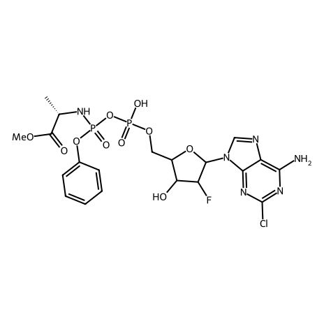 COC(=O)[C@H](C)NP(=O)(Oc1ccccc1)OP(=O)(O)OCC1OC(n2cnc3c(N)nc(Cl)nc32)C(F)C1O